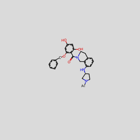 CC(=O)N1CC[C@H](Nc2cccc3c2CN(C(=O)c2c(O)cc(O)cc2OCc2ccccc2)CC3)C1